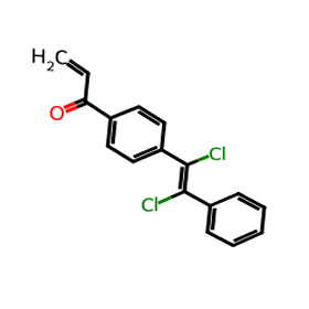 C=CC(=O)c1ccc(C(Cl)=C(Cl)c2ccccc2)cc1